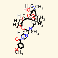 COc1cccc(C(=O)N2CCN(C[C@H]3[C@H](C)OC(=O)C(C)(C)C(=O)[C@H](C)[C@@H](O[C@@H]4O[C@H](C)C[C@H](N(C)C)[C@H]4O)[C@](C)(OC)C[C@@H](C)CN3C)CC2)c1